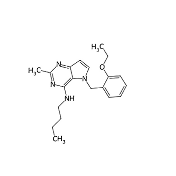 CCCCNc1nc(C)nc2ccn(Cc3ccccc3OCC)c12